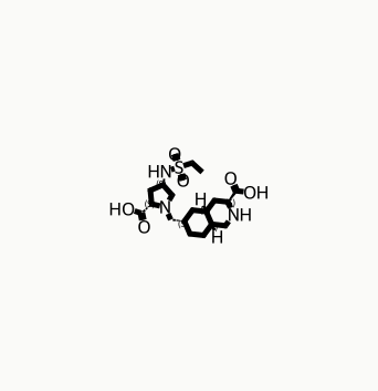 CCS(=O)(=O)N[C@H]1C[C@@H](C(=O)O)N(C[C@H]2CC[C@H]3CN[C@H](C(=O)O)C[C@H]3C2)C1